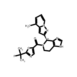 Cc1cccn2nc([C@H]3c4nc[nH]c4CCN3C(=O)c3cnc(C(C)(C)F)o3)cc12